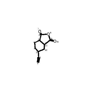 C#CC1CCC2C(=O)OC(=O)C2C1